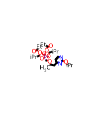 CCC(=O)OC(OP(=O)(COC(C)Cc1ccnc(OC(C)C)n1)OC(OC(=O)CC)C(C)C)C(C)C